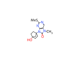 CSc1ncc2c(n1)n(C13CCC(O)(CC1)C3)c(=O)n2C